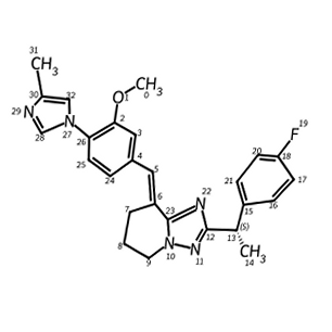 COc1cc(C=C2CCCn3nc([C@@H](C)c4ccc(F)cc4)nc32)ccc1-n1cnc(C)c1